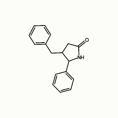 O=C1CC(Cc2ccccc2)C(c2ccccc2)N1